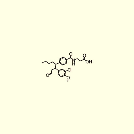 CCCCC(c1ccc(C(=O)NCCC(=O)O)cc1)C(CC=O)c1ccc(OC)c(Cl)c1